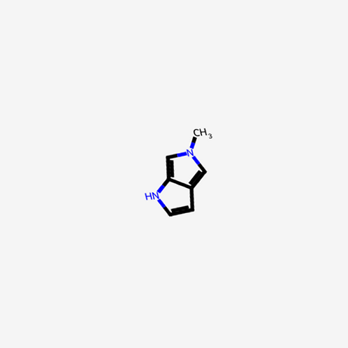 Cn1cc2cc[nH]c2c1